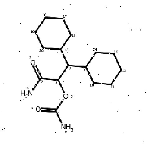 NC(=O)OC(C(N)=O)C(C1CCCCC1)C1CCCCC1